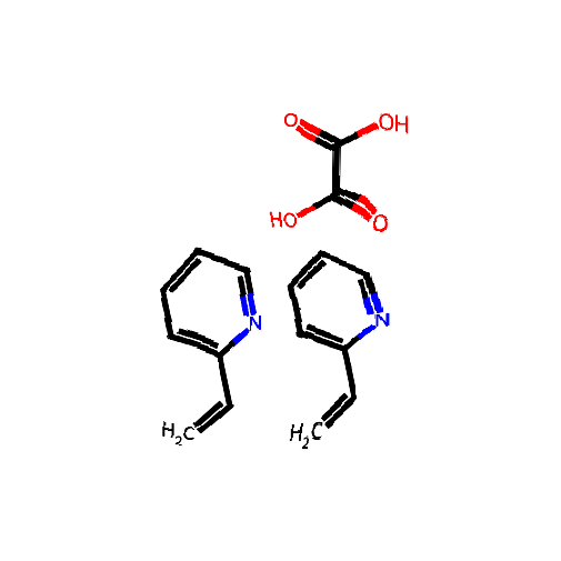 C=Cc1ccccn1.C=Cc1ccccn1.O=C(O)C(=O)O